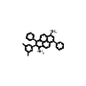 Cc1cc(C)cc(-c2c(N)c3ccc4c(-c5ccccc5)cc(N)c5ccc(c2-c2ccccc2)c3c54)c1